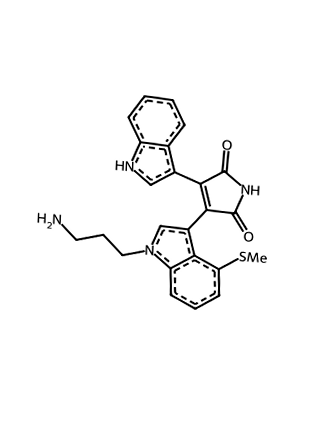 CSc1cccc2c1c(C1=C(c3c[nH]c4ccccc34)C(=O)NC1=O)cn2CCCN